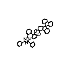 c1ccc(-c2nc(-c3ccccc3)nc(-c3ccccc3-c3cccc4c3Oc3ccc5c(c3O4)-c3ccccc3C5(c3ccccc3)c3ccccc3)n2)cc1